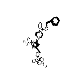 Cn1nc(COS(C)(=O)=O)cc1N1CCN(C(=O)OCc2ccccc2)CC1